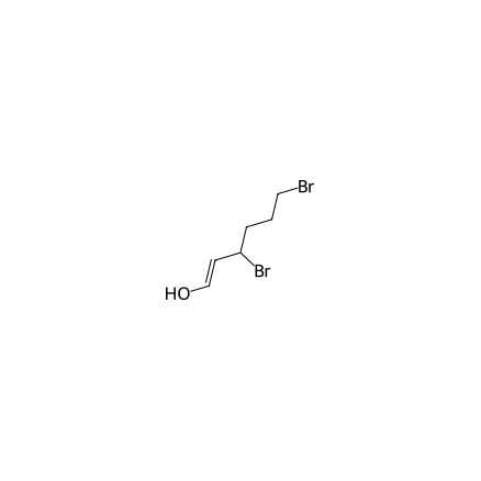 OC=CC(Br)CCCBr